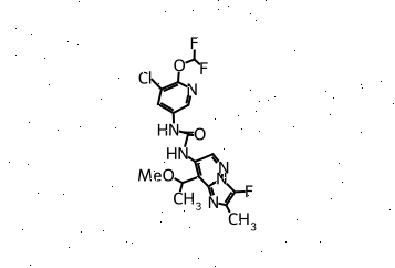 COC(C)c1c(NC(=O)Nc2cnc(OC(F)F)c(Cl)c2)cnn2c(F)c(C)nc12